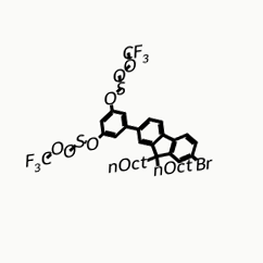 CCCCCCCCC1(CCCCCCCC)c2cc(Br)ccc2-c2ccc(-c3cc(OSOOC(F)(F)F)cc(OSOOC(F)(F)F)c3)cc21